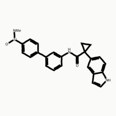 CN[S+]([O-])c1ccc(-c2cccc(NC(=O)C3(c4ccc5[nH]ccc5c4)CC3)c2)cc1